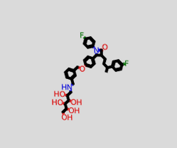 CC(CCC1C(=O)N(c2ccc(F)cc2)C1c1ccc(OCc2cccc(CNCC(O)C(O)C(O)C(O)CO)c2)cc1)c1ccc(F)cc1